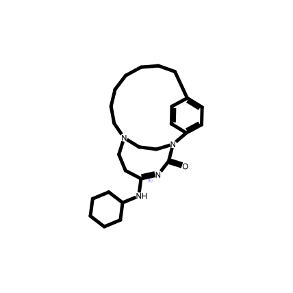 O=C1/N=C(/NC2CCCCC2)CCN2CCCCCCCc3ccc(cc3)N1CC2